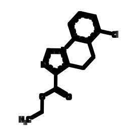 CCOC(=O)c1ncn2c1CCc1c(Cl)cccc1-2